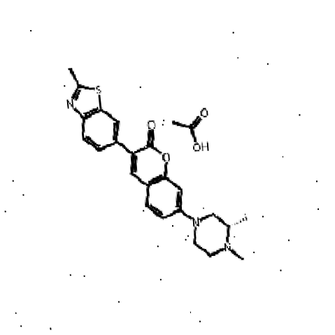 CC(=O)O.Cc1nc2ccc(-c3cc4ccc(N5CCN(C)[C@@H](C)C5)cc4oc3=O)cc2s1